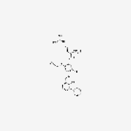 NC(O)NCCC[C@H](NCc1cc(Cl)c(OCc2cccc(-c3ccccc3)c2Br)cc1OCC1CC1)C(=O)O